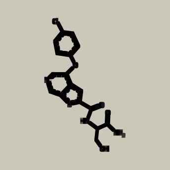 NC(=O)C(CO)NC(=O)c1cc2c(Oc3ccc(Cl)cc3)cncc2s1